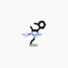 CCCCCCCCCCCCN1NC(c2ccccc2C)=C(C)N1N